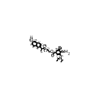 CCN(CC)Cc1cc(C(=O)OCCOC(=O)C(C)c2ccc3cc(OC)ccc3c2)cc(Br)c1N